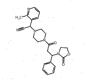 Cc1ncccc1C(C#N)N1CCN(C(=O)CC(c2ccccc2)N2CCOC2=O)CC1